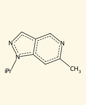 Cc1cc2c(cn1)cnn2C(C)C